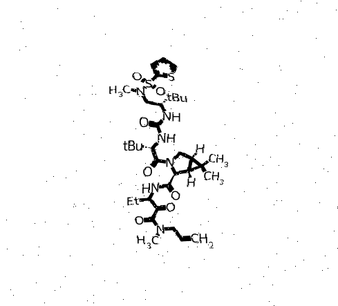 C=CCN(C)C(=O)C(=O)C(CC)NC(=O)[C@@H]1[C@@H]2[C@H](CN1C(=O)[C@@H](NC(=O)N[C@H](CN(C)S(=O)(=O)c1cccs1)C(C)(C)C)C(C)(C)C)C2(C)C